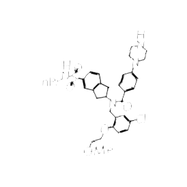 CCCNS(=O)(=O)c1ccc2c(c1)CC(N(Cc1cc(Cl)ccc1OCCOC)C(=O)c1ccc(N3CCNCC3)cc1)C2